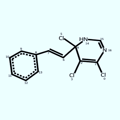 ClC1=C(Cl)C(Cl)(C=Cc2ccccc2)NC=N1